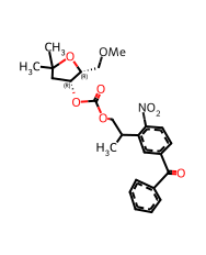 COC[C@H]1OC(C)(C)C[C@H]1OC(=O)OCC(C)c1cc(C(=O)c2ccccc2)ccc1[N+](=O)[O-]